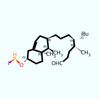 CC[C@H](C)[C@H](CCC[C@@H]1CC=C2C[C@@H](OPI)CC[C@]2(C)[C@@H]1C)[C@H](C)CCC=O